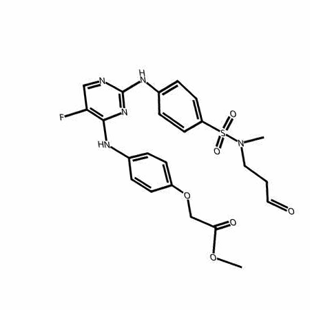 COC(=O)COc1ccc(Nc2nc(Nc3ccc(S(=O)(=O)N(C)CCC=O)cc3)ncc2F)cc1